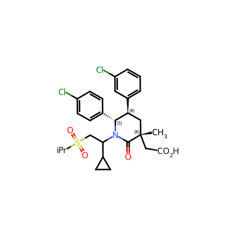 CC(C)S(=O)(=O)CC(C1CC1)N1C(=O)[C@@](C)(CC(=O)O)C[C@H](c2cccc(Cl)c2)[C@H]1c1ccc(Cl)cc1